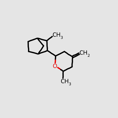 C=C1CC(C)OC(C2C3CCC(C3)C2C)C1